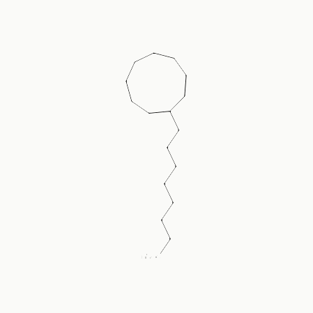 CCCCCCCCCCCCCCCCC1CCCCCCCC1